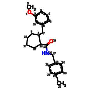 COc1cccc(CC2CCCCC2C(=O)NCc2ccc(C)cc2)c1